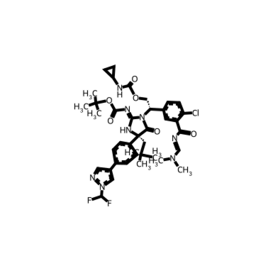 CN(C)/C=N/C(=O)c1cc([C@@H](COC(=O)NC2CC2)N2C(=O)[C@@](CC(C)(C)C)(c3ccc(-c4cnn(C(F)F)c4)cc3)N/C2=N\C(=O)OC(C)(C)C)ccc1Cl